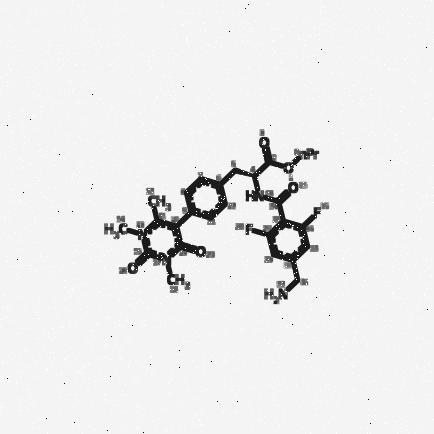 CCCOC(=O)[C@H](Cc1ccc(-c2c(C)n(C)c(=O)n(C)c2=O)cc1)NC(=O)c1c(F)cc(CN)cc1F